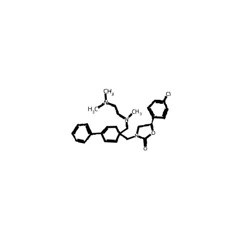 CN(C)CCN(C)CC1(CN2C[C@@H](c3ccc(Cl)cc3)OC2=O)C=CC(c2ccccc2)=CC1